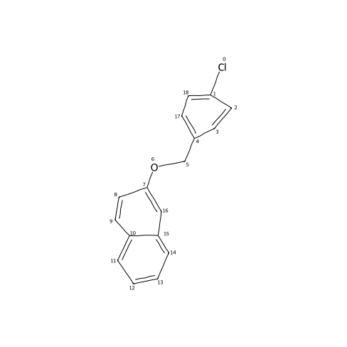 Clc1ccc(COc2ccc3ccccc3c2)cc1